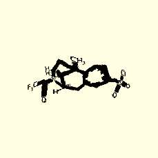 CC12CCN(C(=O)C(F)(F)F)[C@H](Cc3cc(S(=O)(=O)Cl)ccc31)C2(C)C